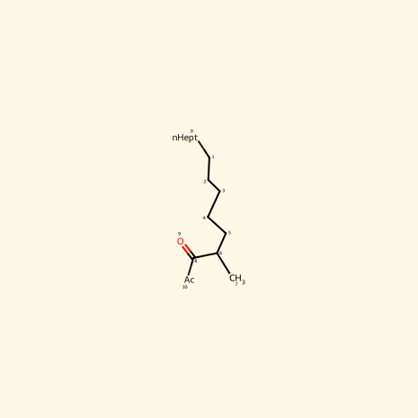 CCCCCCCCCCCCC(C)C(=O)C(C)=O